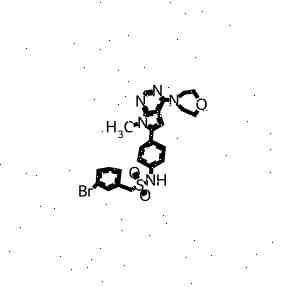 Cn1c(-c2ccc(NS(=O)(=O)Cc3cccc(Br)c3)cc2)cc2c(N3CCOCC3)ncnc21